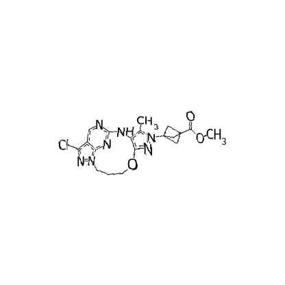 COC(=O)C12CC(n3nc4c(c3C)Nc3ncc5c(Cl)nn(c5n3)CCCO4)(C1)C2